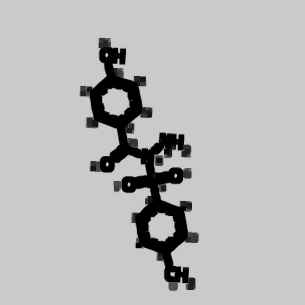 Cc1ccc(S(=O)(=O)N(N)C(=O)c2ccc(O)cc2)cc1